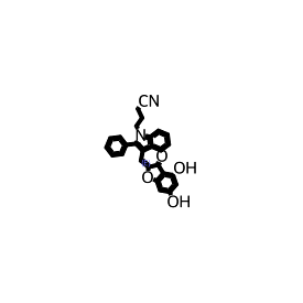 N#CCCCn1c(-c2ccccc2)c(/C=C2/Oc3cc(O)cc(O)c3C2=O)c2ccccc21